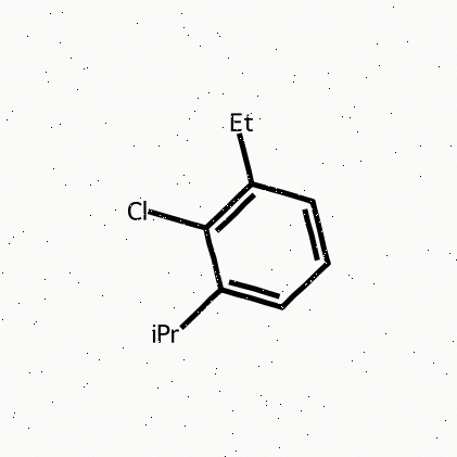 CCc1cccc(C(C)C)c1Cl